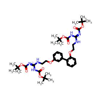 CC(C)(C)OC(=O)/N=C(/NCCOc1cccc(-c2ccccc2OCCN/C(=N/C(=O)OC(C)(C)C)NC(=O)OC(C)(C)C)c1)NC(=O)OC(C)(C)C